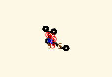 O=C(CCSCc1ccccc1)C(=O)N1C(=S)CC[C@H]1C(=O)OC(c1ccccc1)c1ccccc1